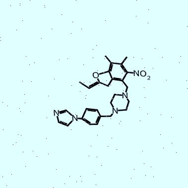 C/C=C1/Cc2c(CN3CCN(Cc4ccc(-n5ccnc5)cc4)CC3)c([N+](=O)[O-])c(C)c(C)c2O1